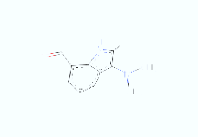 Cc1[nH]c2c(C=O)cccc2c1N(C)C